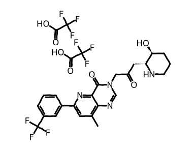 Cc1cc(-c2cccc(C(F)(F)F)c2)nc2c(=O)n(CC(=O)C[C@H]3NCCC[C@@H]3O)cnc12.O=C(O)C(F)(F)F.O=C(O)C(F)(F)F